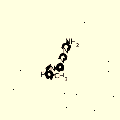 Cc1ccc(F)c2ccn(-c3cccc(N4CCC(N5CCC(N)CC5)CC4)c3)c12